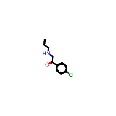 C=CCNCC(=O)c1ccc(Cl)cc1